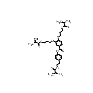 C=C(C)C(=O)OCCCOc1ccc(C(=O)Oc2ccc(CCOC(=O)C(=C)C)cc2)cc1OCCCOC(=O)C(=C)C